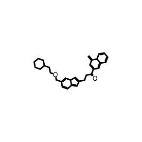 C=C1C=C(C(=O)CCC2=CC3C=C(COCCC4CCCCC4)C=CC3=C2)C=C2C=CC=CC12